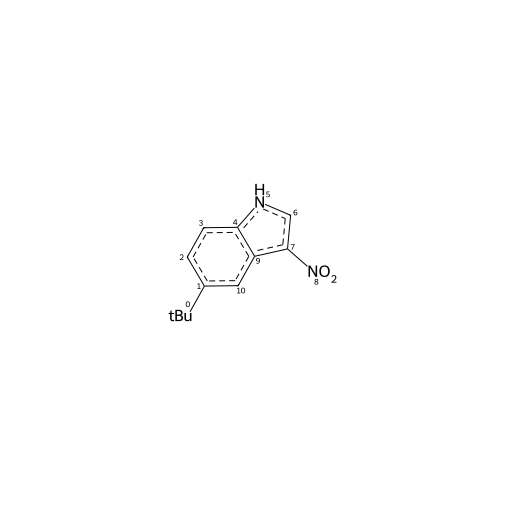 CC(C)(C)c1ccc2[nH]cc([N+](=O)[O-])c2c1